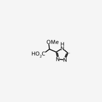 COC(C(=O)O)c1nn[c][nH]1